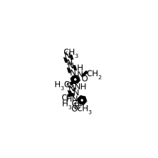 C=CC(=O)Nc1cc(Nc2ncc(Cl)c(Nc3ccccc3P(C)(C)=O)n2)c(OC)cc1N1CCN(N2CCN(C)CC2)CC1